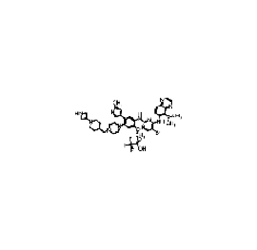 COc1cc(N2CCN(CC3CCN(C4CNC4)CC3)CC2)c(-c2cnn(C)c2)cc1Nc1ncc(Br)c(Nc2ccc3nccnc3c2P(C)C)n1.O=C(O)C(F)(F)F